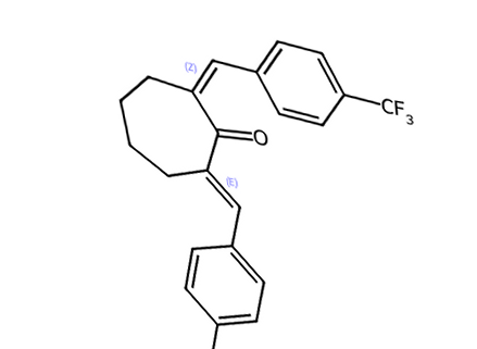 O=C1/C(=C\c2ccc(C(F)(F)F)cc2)CCCC/C1=C\c1ccc(C(F)(F)F)cc1